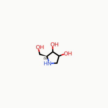 OC[C@@H]1NCC(O)C1O